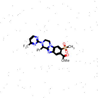 COC(=O)c1cc2nc3n(c2cc1S(C)(=O)=O)CCN(c1nccc(C(F)(F)F)n1)C3C(C)C